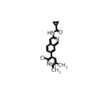 C=C/C(C)=C\C(=C(/N)Cl)c1ccc2cc(NC(=O)C3CC3)ncc2c1